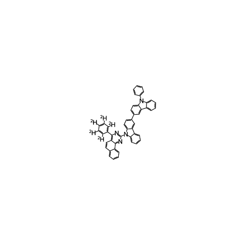 [2H]c1c([2H])c([2H])c(-c2nc(-n3c4ccccc4c4cc(-c5ccc6c(c5)c5ccccc5n6-c5ccccc5)ccc43)nc3c2ccc2ccccc23)c([2H])c1[2H]